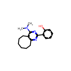 CN(C)c1nc(-c2ccccc2O)nc2c1CCCCCC2